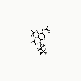 CC(=O)O[C@@H]1[C@@H](OC(C)=O)[C@H](OC(C)=O)CO[C@H]1NNC(=O)C(F)(F)F